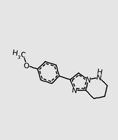 COc1ccc(-c2cn3c(n2)CCCN3)cc1